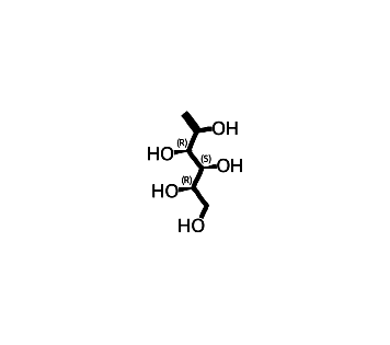 C=C(O)[C@H](O)[C@@H](O)[C@H](O)CO